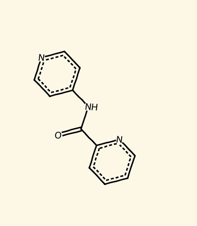 O=C(Nc1ccncc1)c1ccccn1